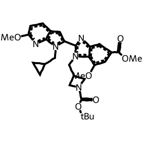 COC(=O)c1cc(OC)c2c(c1)nc(-c1cc3ccc(OC)nc3n1CC1CC1)n2CC1CN(C(=O)OC(C)(C)C)C1